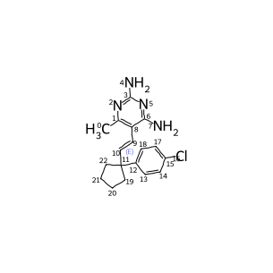 Cc1nc(N)nc(N)c1/C=C/C1(c2ccc(Cl)cc2)CCCC1